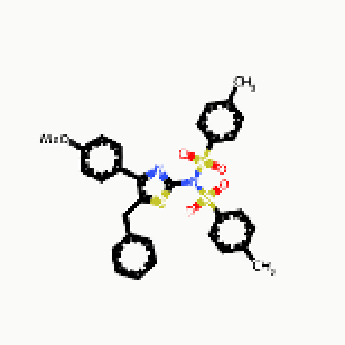 COc1ccc(-c2nc(N(S(=O)(=O)c3ccc(C)cc3)S(=O)(=O)c3ccc(C)cc3)sc2Cc2ccccc2)cc1